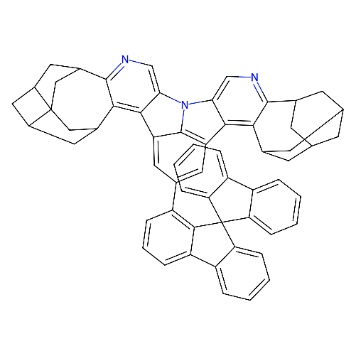 c1ccc2c(c1)-c1ccccc1C21c2ccccc2-c2cccc(-c3cc4c5c6c(ncc5n5c7cnc8c(c7c(c3)c45)C3CC4CC5CC8CC54C3)C3CC4CC(C3)CC6C4)c21